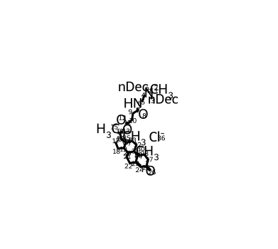 CCCCCCCCCC[N+](C)(CCCCCCCCCC)CCNC(=O)CCC(=O)O[C@@H](C)[C@H]1CCC2C3CCC4=CC(=O)CC[C@]4(C)C3CC[C@@]21C.[Cl-]